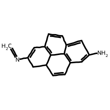 C=NC1=Cc2ccc3cc(N)cc4c3c2C(C=C4)C1